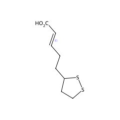 O=C(O)/C=C/CCC1CCSS1